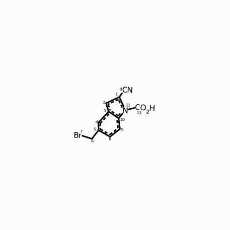 N#Cc1cc2cc(CBr)ccc2n1C(=O)O